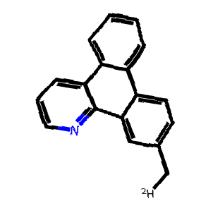 [2H]Cc1ccc2c3ccccc3c3cccnc3c2c1